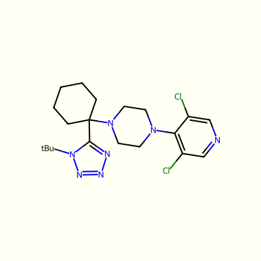 CC(C)(C)n1nnnc1C1(N2CCN(c3c(Cl)cncc3Cl)CC2)CCCCC1